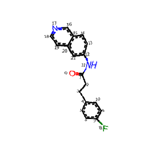 O=C(CCc1ccc(F)cc1)Nc1ccc2cnccc2c1